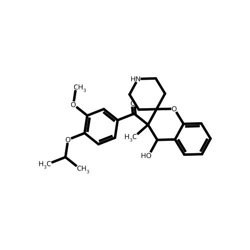 COc1cc(C(=O)C2(C)C(O)c3ccccc3OC23CCNCC3)ccc1OC(C)C